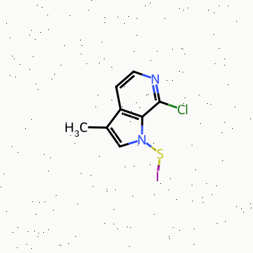 Cc1cn(SI)c2c(Cl)nccc12